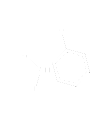 C[CH2][AlH][CH2]C.Oc1ccccc1